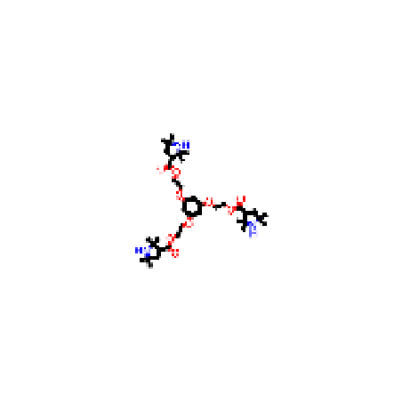 CC1(C)CC(C(=O)OCCOC2CC(OCCOC(=O)C3CC(C)(C)NC3(C)C)CC(OCCOC(=O)C3CC(C)(C)NC3(C)C)C2)C(C)(C)N1